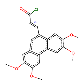 COc1cc2cc(/C=C/C(=O)Cl)c3cc(OC)c(OC)cc3c2cc1OC